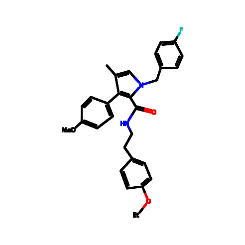 CCOc1ccc(CCNC(=O)c2c(-c3ccc(OC)cc3)c(C)cn2Cc2ccc(F)cc2)cc1